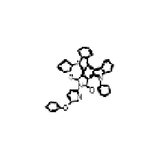 O=C1c2c(c3c(c4ccccc4n3-c3ccccc3)c3c4ccccc4n(-c4ccccc4)c23)C(=O)N1c1ccc(Oc2ccccc2)cn1